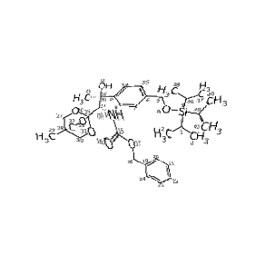 CC(C)[Si](OCc1ccc([C@](C)(O)[C@H](NC(=O)OCc2ccccc2)C23OCC(C)(CO2)CO3)cc1)(C(C)C)C(C)C